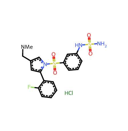 CNCc1cc(-c2ccccc2F)n(S(=O)(=O)c2cccc(NS(N)(=O)=O)c2)c1.Cl